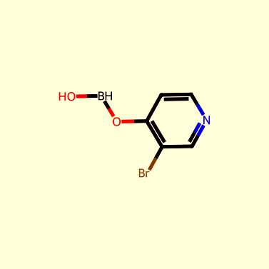 OBOc1ccncc1Br